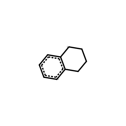 [C]1CCCc2[c]cccc21